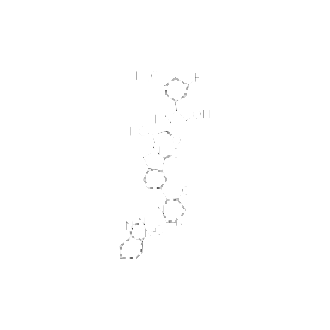 Cc1cc(F)cc(C(CO)NC(=O)C(C)N2Cc3ccc(-c4nc(On5nnc6ccccc65)ncc4Cl)cc3C2=O)c1